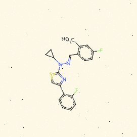 O=C(O)c1cc(F)ccc1/C=N/N(c1nc(-c2ccccc2F)cs1)C1CC1